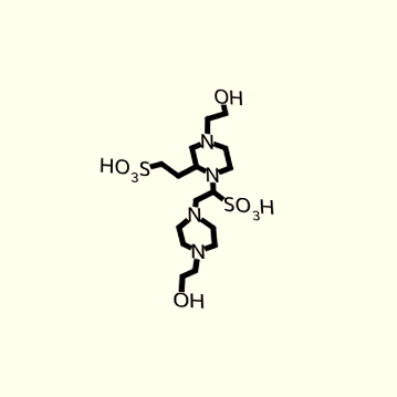 O=S(=O)(O)CCC1CN(CCO)CCN1C(CN1CCN(CCO)CC1)S(=O)(=O)O